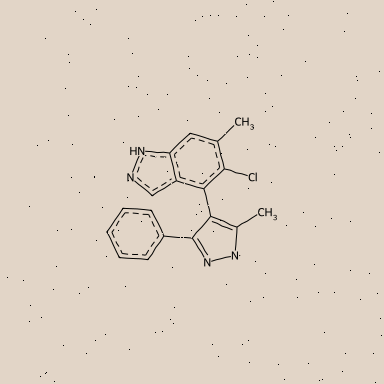 CC1=C(c2c(Cl)c(C)cc3[nH]ncc23)C(c2ccccc2)=N[N]1